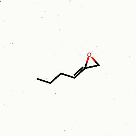 CCCC=C1CO1